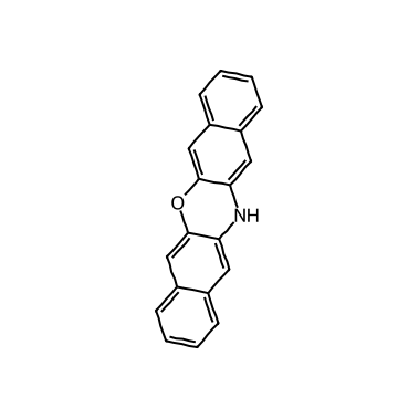 c1ccc2cc3c(cc2c1)Nc1cc2ccccc2cc1O3